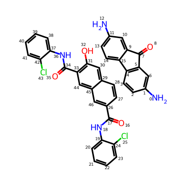 Nc1ccc2c(c1)C(=O)c1cc(N)ccc1-2.O=C(Nc1ccccc1Cl)c1ccc2cc(O)c(C(=O)Nc3ccccc3Cl)cc2c1